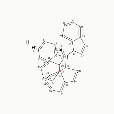 [H-].[H-].[SiH2]=[Hf]([c]1ccccc1)([c]1ccccc1)([CH]1C=Cc2ccccc21)[CH]1C=Cc2ccccc21